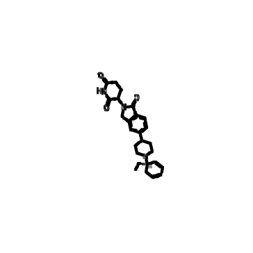 CC[C@@]1(N2CCC(c3ccc4c(c3)CN(C3CCC(=O)NC3=O)C4=O)CC2)C=CC=CC1